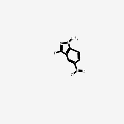 Cn1nc(F)c2cc([N+](=O)[O-])ccc21